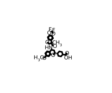 COc1ccc2c(c1)O[C@H](C1CCC(C(=O)O)CC1)C[C@@H]2NC(=O)[C@]1(C)COc2cc3c(cc21)OC(F)(F)O3